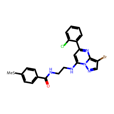 CSc1ccc(C(=O)NCCNc2cc(-c3ccccc3Cl)nc3c(Br)cnn23)cc1